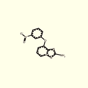 Nc1nc2c(Oc3cccc([N+](=O)[O-])c3)cccn2n1